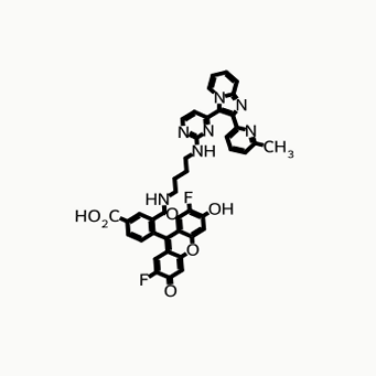 Cc1cccc(-c2nc3ccccn3c2-c2ccnc(NCCCCNC(=O)c3cc(C(=O)O)ccc3-c3c4cc(F)c(=O)cc-4oc4cc(O)c(F)cc34)n2)n1